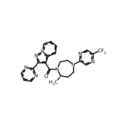 C[C@@H]1CCN(c2cnc(C(F)(F)F)cn2)CCN1C(=O)c1c(-c2ncccn2)nn2ccccc12